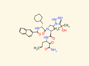 C=CCC(NC(=O)[C@@H]1C[C@H](N2NNC=C2C(C)(C)O)CN1C(=O)[C@@H](CC1CCCCC1)NC(=O)c1ccc2ccccc2c1)C(=O)C(N)=O